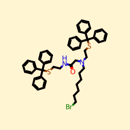 O=C(CN(CCCCCCCBr)CCSC(c1ccccc1)(c1ccccc1)c1ccccc1)NCCSC(c1ccccc1)(c1ccccc1)c1ccccc1